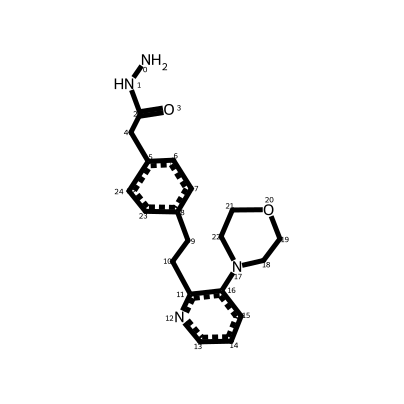 NNC(=O)Cc1ccc(CCc2ncccc2N2CCOCC2)cc1